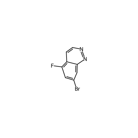 Fc1cc(Br)cc2nnccc12